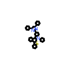 c1ccc(-c2cc(-c3ccccc3)nc(-c3ccc4c(c3)c3c5ccccc5c5c6ccccc6sc5c3n4-c3ccccc3)n2)cc1